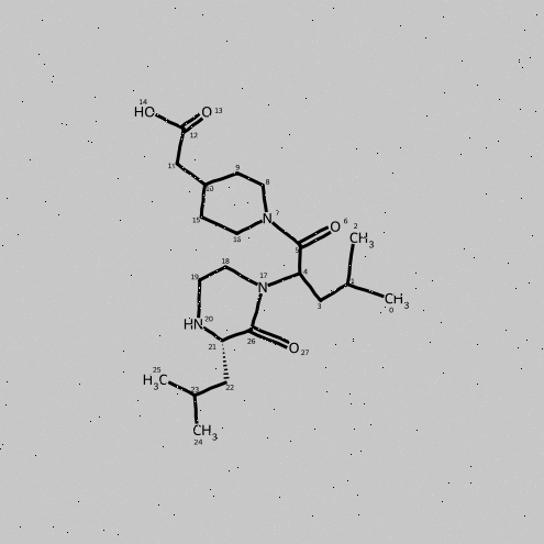 CC(C)CC(C(=O)N1CCC(CC(=O)O)CC1)N1CCN[C@@H](CC(C)C)C1=O